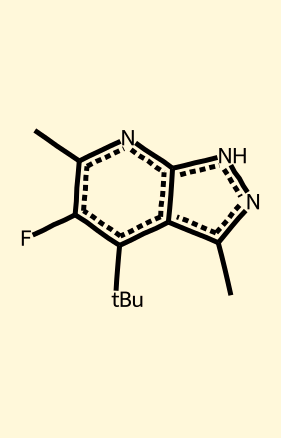 Cc1nc2[nH]nc(C)c2c(C(C)(C)C)c1F